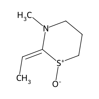 C/C=C1/N(C)CCC[S+]1[O-]